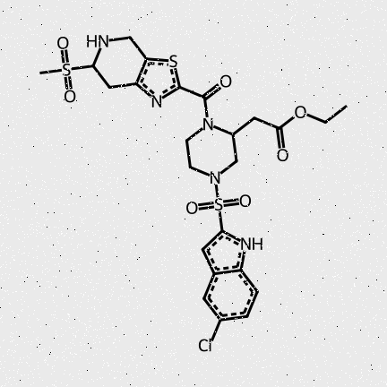 CCOC(=O)CC1CN(S(=O)(=O)c2cc3cc(Cl)ccc3[nH]2)CCN1C(=O)c1nc2c(s1)CNC(S(C)(=O)=O)C2